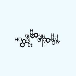 C=NNC(=O)Nc1ccc2[nH]c(C(=O)Nc3ccc4[nH]c(C(=O)N5CC(CC)c6c5cc(O)c5ccccc65)cc4c3)cc2c1